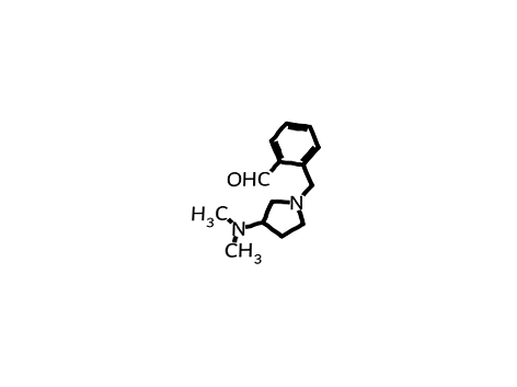 CN(C)C1CCN(Cc2ccccc2C=O)C1